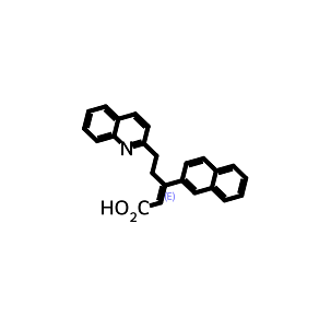 O=C(O)/C=C(\CCc1ccc2ccccc2n1)c1ccc2ccccc2c1